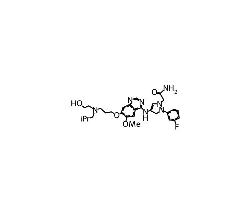 COc1cc2c(NC3=CN(CC(N)=O)N(c4cccc(F)c4)C3)ncnc2cc1OCCCN(CCO)CC(C)C